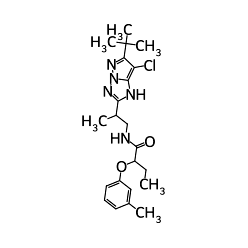 CCC(Oc1cccc(C)c1)C(=O)NCC(C)c1nn2nc(C(C)(C)C)c(Cl)c2[nH]1